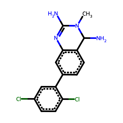 CN1C(N)=Nc2cc(-c3cc(Cl)ccc3Cl)ccc2C1N